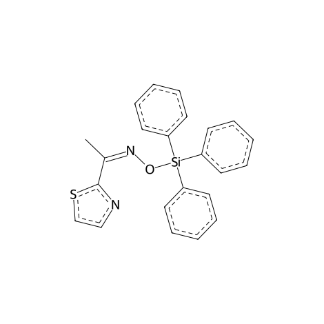 CC(=NO[Si](c1ccccc1)(c1ccccc1)c1ccccc1)c1nccs1